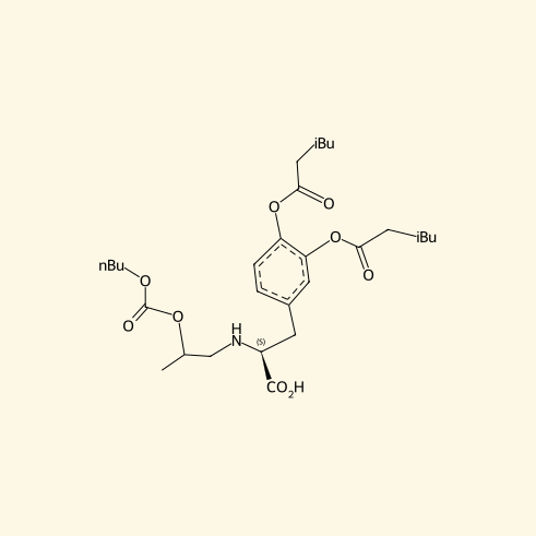 CCCCOC(=O)OC(C)CN[C@@H](Cc1ccc(OC(=O)CC(C)CC)c(OC(=O)CC(C)CC)c1)C(=O)O